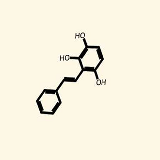 Oc1ccc(O)c(C=Cc2ccccc2)c1O